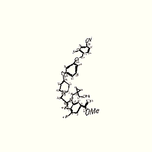 COC(=O)c1cc(F)c2nc(CN3CCC(Oc4cccc(OCc5ccc(C#N)cc5F)c4)CC3)n(CC3(CC#N)CC3)c2c1